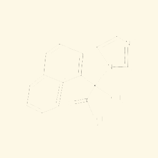 [CH2]C(C(=O)O)(c1cccc2ccccc12)n1ccnc1